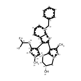 Cc1nn2c(c1-c1nc3n(Cc4ccccc4)cccc-3c1-c1cn(C)nc1OC(F)F)OC[C@@H](O)C2